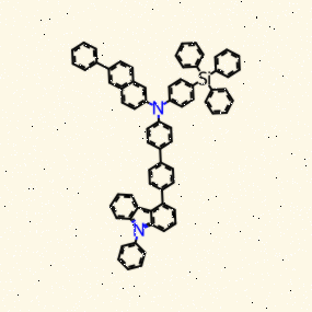 c1ccc(-c2ccc3cc(N(c4ccc(-c5ccc(-c6cccc7c6c6ccccc6n7-c6ccccc6)cc5)cc4)c4ccc([Si](c5ccccc5)(c5ccccc5)c5ccccc5)cc4)ccc3c2)cc1